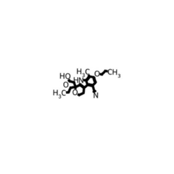 CCCOc1cc(C#N)c2c3c([nH]c2c1C)C(CCC)(CC(=O)O)OCC3